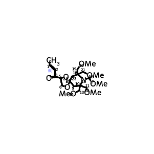 C/C=C/C(=O)C1COC2(CC(COC)(COC)N(COC)C(COC)(COC)C2)O1